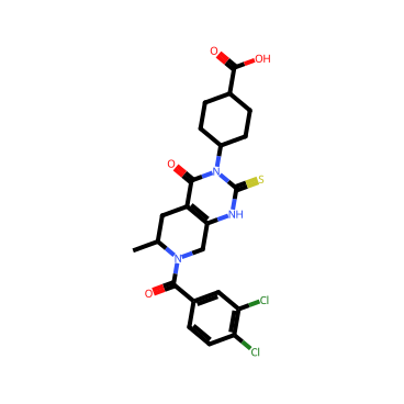 CC1Cc2c([nH]c(=S)n(C3CCC(C(=O)O)CC3)c2=O)CN1C(=O)c1ccc(Cl)c(Cl)c1